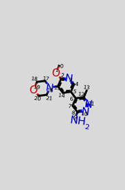 COc1ncc(-c2cc(N)nnc2C)cc1N1CCOCC1